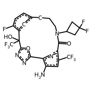 Nc1cc(C(F)(F)F)c2nc1-c1nnc(o1)C(O)(C(F)(F)F)c1cc(ccc1F)CCCN(C1CC(F)(F)C1)C2=O